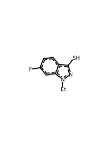 CCn1nc(S)c2ccc(F)cc21